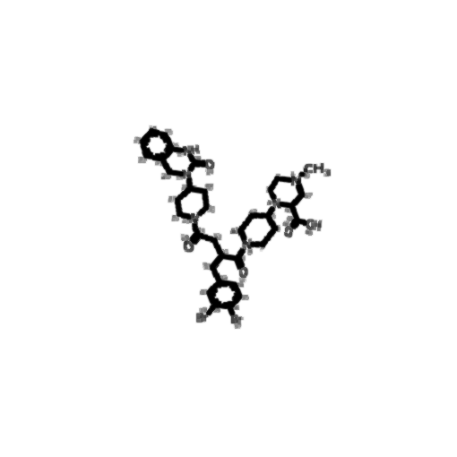 CN1CCN(C2CCN(C(=O)C(CC(=O)N3CCC(N4Cc5ccccc5NC4=O)CC3)Cc3ccc(Br)c(Br)c3)CC2)C(C(=O)O)C1